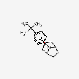 CC(C)(C)c1ccc(N2C3CCC2CC(=O)C3)cc1